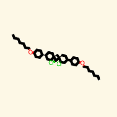 CCCCCCCOC1CCC(C2CC[C@]3(CC2)C[C@@]2(CC[C@H](C4CCC(OCCCCCCC)CC4)CC2)C3(Cl)Cl)CC1